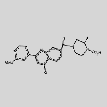 CNc1cccc(-c2cc(Cl)c3ccc(C(=O)N4CCN(C(=O)O)[C@H](C)C4)cc3n2)c1